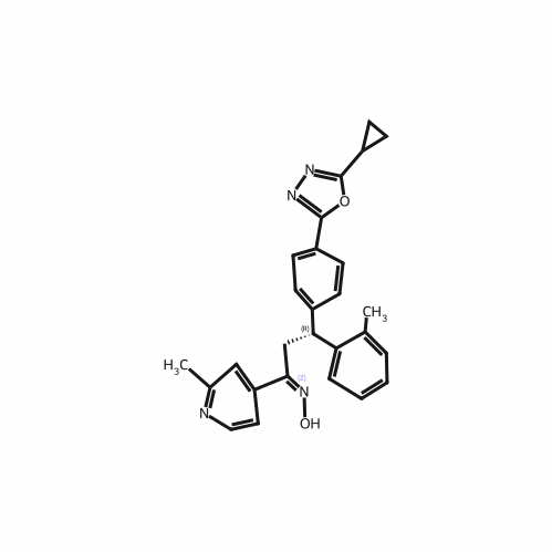 Cc1cc(/C(C[C@H](c2ccc(-c3nnc(C4CC4)o3)cc2)c2ccccc2C)=N\O)ccn1